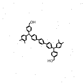 Cc1ccc(C(c2ccc(CO)cc2)c2ccc(-c3ccc(-c4ccc(C(c5ccc(CO)cc5)c5ccc(C)c(C)c5)cc4)cc3)cc2)cc1C